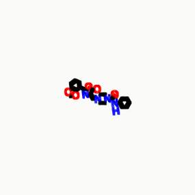 O=C1OC(c2cccc3c2OCO3)=N/C1=C/N1CCN(C(=O)Nc2ccccc2)CC1